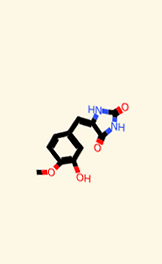 COc1ccc(C=C2NC(=O)NC2=O)cc1O